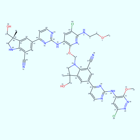 COCCNc1nc(OCN2CC(C)(CO)c3cc(-c4ccnc(Nc5cc(Cl)nnc5OC)n4)cc(C#N)c32)c(Nc2nccc(-c3cc(C#N)c4c(c3)[C@@](C)(CO)CN4)n2)cc1Cl